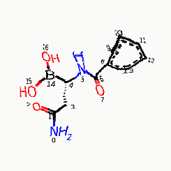 NC(=O)C[C@@H](NC(=O)c1ccccc1)B(O)O